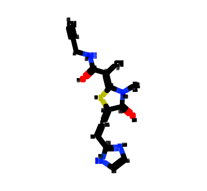 C#CCNC(=O)/C(C#N)=c1\sc(=C=Cc2ncc[nH]2)c(=O)n1CC